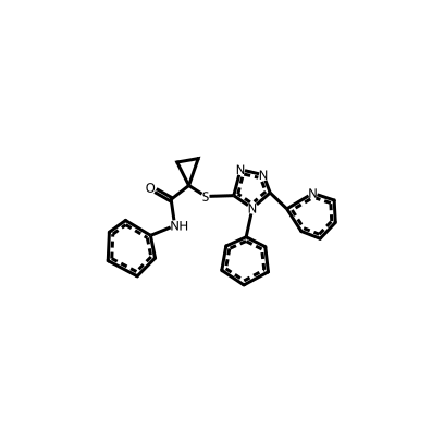 O=C(Nc1ccccc1)C1(Sc2nnc(-c3ccccn3)n2-c2ccccc2)CC1